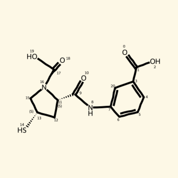 O=C(O)c1cccc(NC(=O)[C@@H]2C[C@H](S)CN2C(=O)O)c1